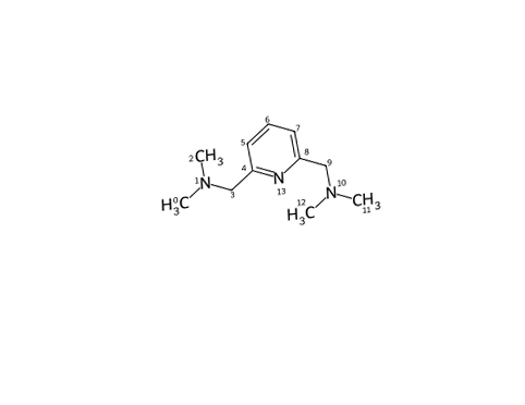 CN(C)Cc1cccc(CN(C)C)n1